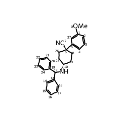 COc1cccc([C@]2(C#N)CC[C@H](NC(c3ccccc3)c3ccccc3)CC2)c1